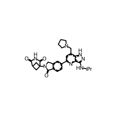 CC(C)Nc1n[nH]c2c(CN3CCCC3)cc(-c3ccc4c(c3)CN(C35CC(C3)C(=O)NC5=O)C4=O)nc12